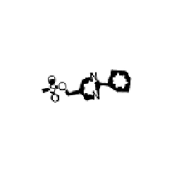 CS(=O)(=O)OCc1cnc(-c2ccccc2)nc1